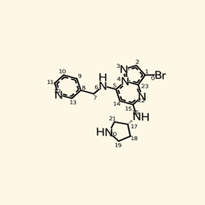 Brc1cnn2c(NCc3cccnc3)cc(N[C@@H]3CCNC3)nc12